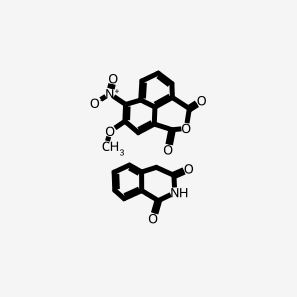 COc1cc2c3c(cccc3c1[N+](=O)[O-])C(=O)OC2=O.O=C1Cc2ccccc2C(=O)N1